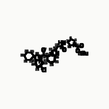 CC(C)(C)OC(=O)N1CC[C@@H](NC(=O)Cc2cn3c(C(=O)NCC4(c5ccc(Cl)cc5)CCCCC4)cccc3n2)C1